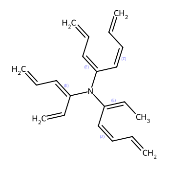 C=C/C=C\C(=C/C)N(/C(C=C)=C/C=C)C(/C=C\C=C)=C/C=C